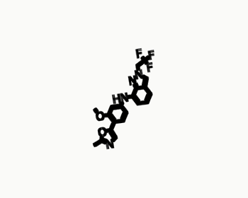 COc1cc(Nc2cccc3cn(CC(F)(F)F)nc23)ccc1-c1cnc(C)o1